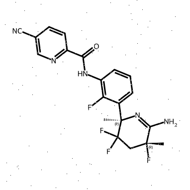 C[C@@]1(F)CC(F)(F)[C@@](C)(c2cccc(NC(=O)c3ccc(C#N)cn3)c2F)N=C1N